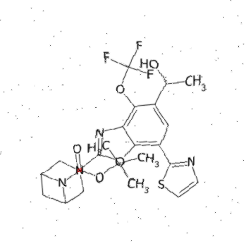 CC(O)c1cc(-c2nccs2)c2oc(N3CC4CC(C3)N4C(=O)OC(C)(C)C)nc2c1OC(F)(F)F